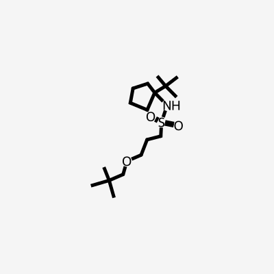 CC(C)(C)COCCCS(=O)(=O)NC1(C(C)(C)C)CCCC1